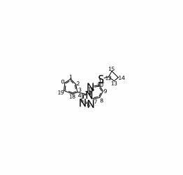 c1ccc(-c2nnc3ccc(SC4CCC4)nn23)cc1